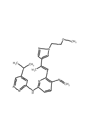 C=Nc1ccc(Nc2cc(C(C)C)cnn2)nc1/C=C(\C)c1cnn(CCOC)c1